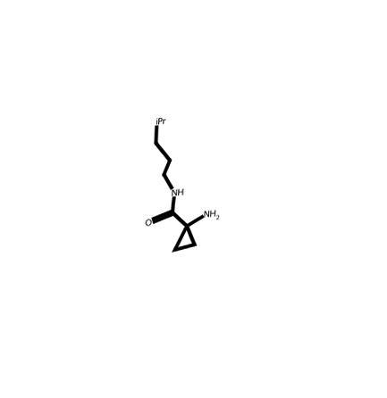 CC(C)CCCNC(=O)C1(N)CC1